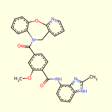 COc1cc(C(=O)N2Cc3cccnc3Oc3ccccc32)ccc1C(=O)Nc1cccc2[nH]c(C)nc12